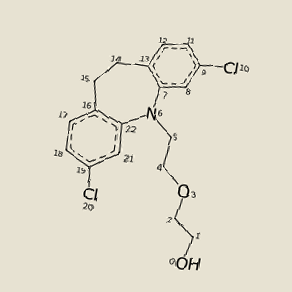 OCCOCCN1c2cc(Cl)ccc2CCc2ccc(Cl)cc21